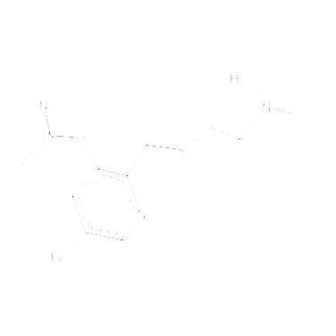 CN(C)CCOCc1ncc(Br)cc1OC(N)=O